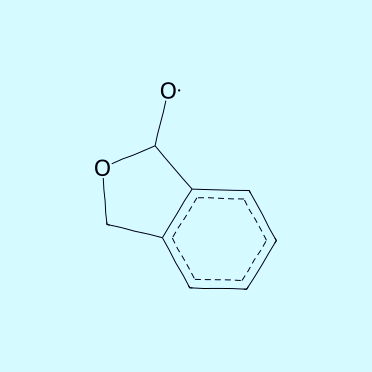 [O]C1OCc2ccccc21